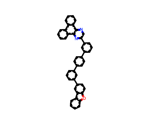 c1cc(-c2ccc(-c3cccc(-c4cnc5c6ccccc6c6ccccc6c5n4)c3)cc2)cc(-c2ccc3oc4ccccc4c3c2)c1